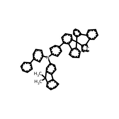 CC1(C)c2ccccc2-c2ccc(N(c3ccc(-c4cccc5c4-c4ccccc4C54c5ccccc5-c5ccccc5-c5ccccc54)cc3)c3cccc(-c4ccccc4)c3)cc21